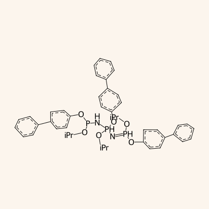 CC(C)OP(N[PH](N=[PH](Oc1ccc(-c2ccccc2)cc1)OC(C)C)(Oc1ccc(-c2ccccc2)cc1)OC(C)C)Oc1ccc(-c2ccccc2)cc1